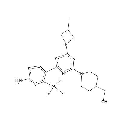 CC1CN(c2cc(-c3ccc(N)nc3C(F)(F)F)nc(N3CCC(CO)CC3)n2)C1